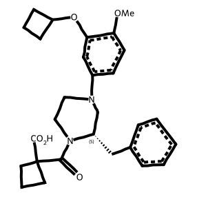 COc1ccc(N2CCN(C(=O)C3(C(=O)O)CCC3)[C@@H](Cc3ccccc3)C2)cc1OC1CCC1